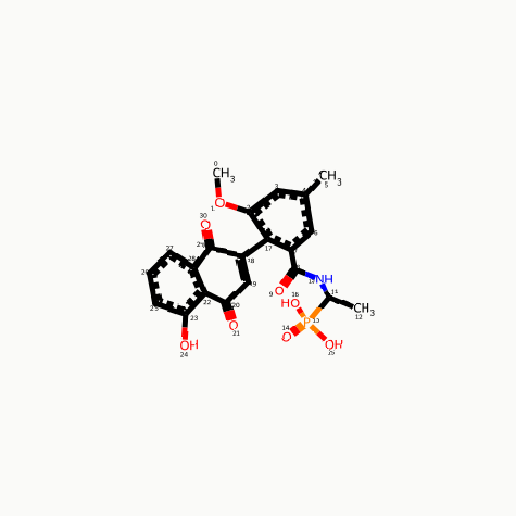 COc1cc(C)cc(C(=O)NC(C)P(=O)(O)O)c1C1=CC(=O)c2c(O)cccc2C1=O